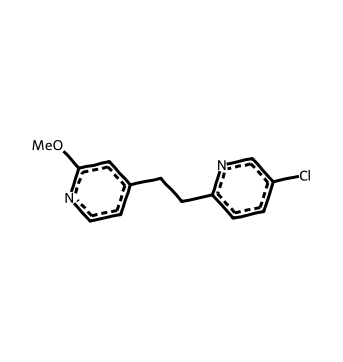 COc1cc(CCc2ccc(Cl)cn2)ccn1